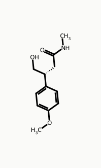 CNC(=O)C[C@@H](CO)c1ccc(OC)cc1